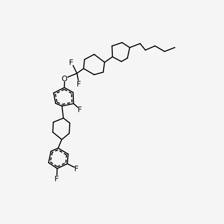 CCCCCC1CCC(C2CCC(C(F)(F)Oc3ccc(C4CCC(c5ccc(F)c(F)c5)CC4)c(F)c3)CC2)CC1